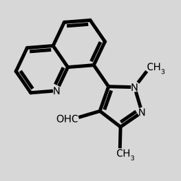 Cc1nn(C)c(-c2cccc3cccnc23)c1C=O